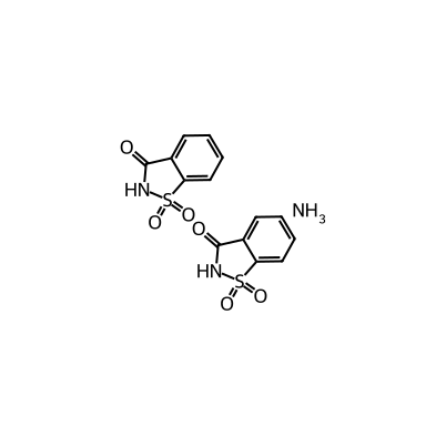 N.O=C1NS(=O)(=O)c2ccccc21.O=C1NS(=O)(=O)c2ccccc21